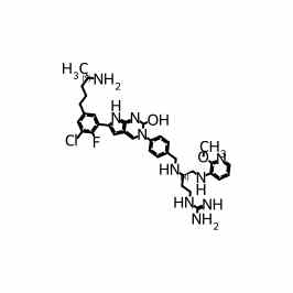 COc1ncccc1NC[C@@H](CCNC(=N)N)NCc1ccc(N2C=c3cc(-c4cc(CCC[C@H](C)N)cc(Cl)c4F)[nH]c3=NC2O)cc1